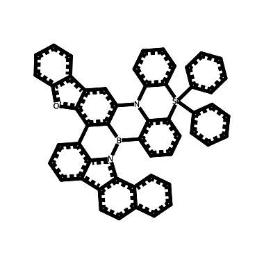 c1ccc([Si]2(c3ccccc3)c3ccccc3N3c4cc5c(oc6ccccc65)c5c4B(c4cccc2c43)n2c3c-5cccc3c3ccc4ccccc4c32)cc1